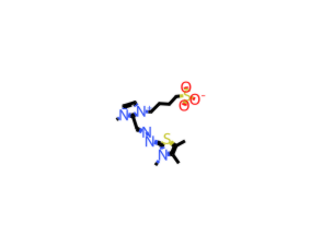 Cc1s/c(=N\N=C\c2n(C)cc[n+]2CCCCS(=O)(=O)[O-])n(C)c1C